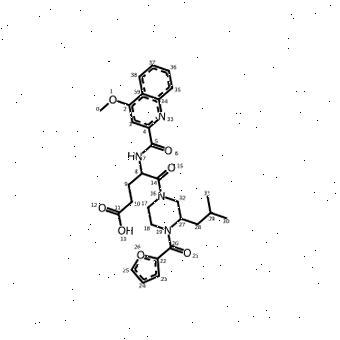 COc1cc(C(=O)NC(CCC(=O)O)C(=O)N2CCN(C(=O)c3ccco3)C(CC(C)C)C2)nc2ccccc12